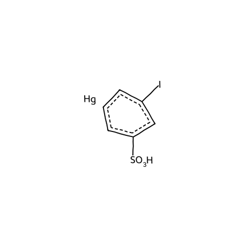 O=S(=O)(O)c1cccc(I)c1.[Hg]